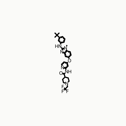 Cn1c(Nc2cccc(C(C)(C)C)c2)nc2cc(Oc3ccnc(NC(=O)C4CCN(CC(F)(F)F)CC4)c3)ccc21